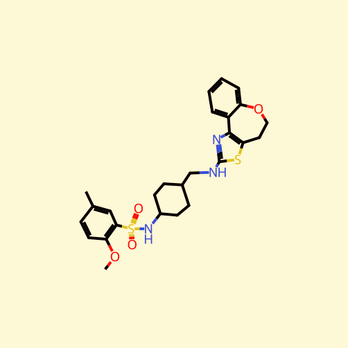 COc1ccc(C)cc1S(=O)(=O)NC1CCC(CNc2nc3c(s2)CCOc2ccccc2-3)CC1